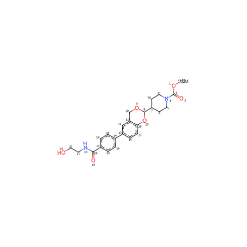 CC(C)(C)OC(=O)N1CCC(C2OCc3cc(-c4ccc(C(=O)NCCO)cc4)ccc3O2)CC1